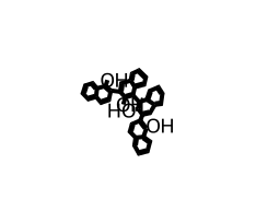 Oc1c(-c2ccc3ccccc3c2O)cc2ccccc2c1-c1c(O)c(-c2ccc3ccccc3c2O)cc2ccccc12